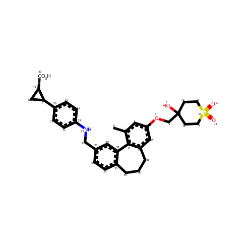 Cc1cc(OCC2(O)CCS(=O)(=O)CC2)cc2c1-c1cc(CNc3ccc(C4CC4C(=O)O)cc3)ccc1CCC2